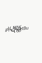 CC(C)CCC(C)[C@H](N)C(=O)N[C@@H](C)C(=O)C(C)(C)C